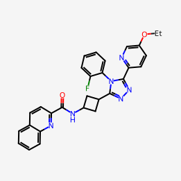 CCOc1ccc(-c2nnc(C3CC(NC(=O)c4ccc5ccccc5n4)C3)n2-c2ccccc2F)nc1